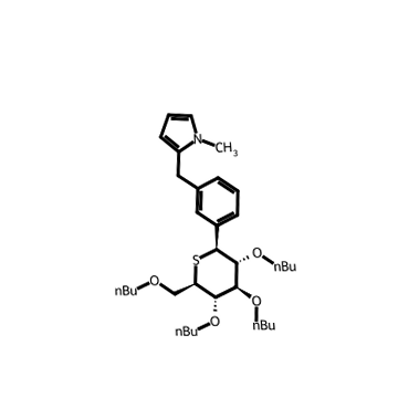 CCCCOC[C@H]1S[C@@H](c2cccc(Cc3cccn3C)c2)[C@H](OCCCC)[C@@H](OCCCC)[C@@H]1OCCCC